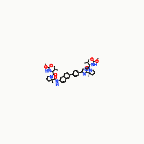 COC(=O)N[C@H](C(=O)N1CCC[C@@]1(C)C(=O)Nc1ccc2cc(-c3ccc(-c4c[nH]c([C@]5(C)CCCN5C(=O)[C@@H](NC(=O)OC)C(C)C)n4)cc3)ccc2c1)C(C)C